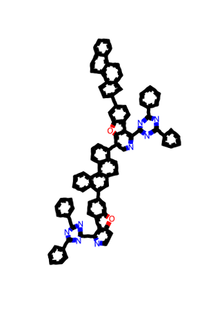 c1ccc(-c2nc(-c3ccccc3)nc(-c3nccc4oc5cc(-c6cc7ccc8c(-c9cnc(-c%10nc(-c%11ccccc%11)nc(-c%11ccccc%11)n%10)c%10c9oc9cc(-c%11ccc%12c(ccc%13c%14ccccc%14ccc%12%13)c%11)ccc9%10)cccc8c7c7ccccc67)ccc5c34)n2)cc1